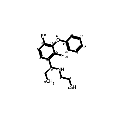 CC[C@H](NCCS)c1ccc(F)c(Oc2ccccc2)c1F